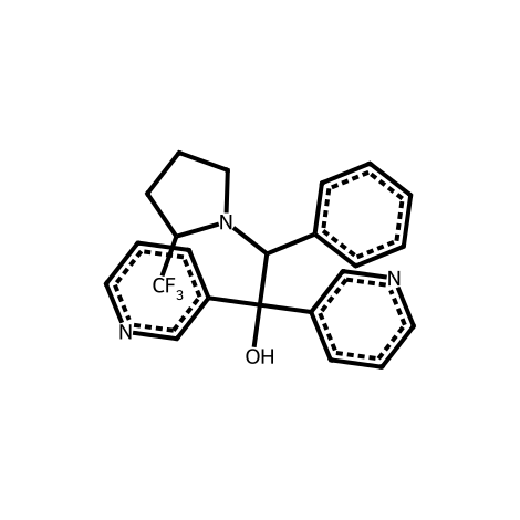 OC(c1cccnc1)(c1cccnc1)C(c1ccccc1)N1CCCC1C(F)(F)F